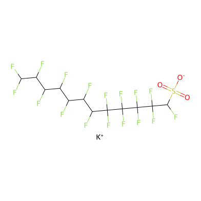 O=S(=O)([O-])C(F)C(F)(F)C(F)(F)C(F)(F)C(F)(F)C(F)C(F)C(F)C(F)C(F)C(F)C(F)F.[K+]